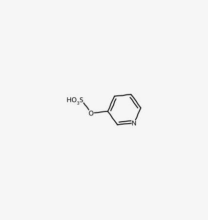 O=S(=O)(O)Oc1cccnc1